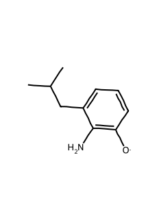 CC(C)Cc1cccc([O])c1N